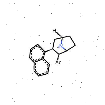 CC(=O)[C@@H]1C2CC[C@@H](C[C@@H]1c1cccc3ccccc13)N2C